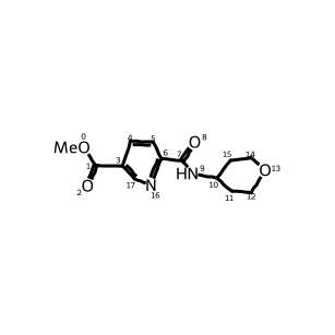 COC(=O)c1ccc(C(=O)NC2CCOCC2)nc1